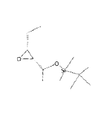 CC[C@H]1O[C@H]1C(C)O[Si](C)(C)C(C)(C)C